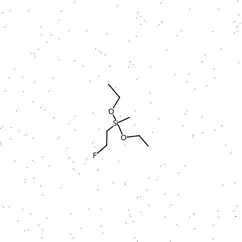 CCO[Si](C)(CCF)OCC